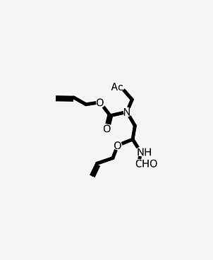 C=CCOC(=O)N(CC(C)=O)CC(NC=O)OCC=C